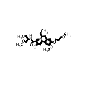 CCC(COC)NC(=O)c1cn2c(cc1=O)-c1cc(OC)c(OCCCOC)cc1CC2CC